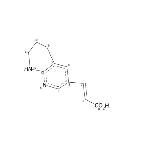 O=C(O)C=Cc1cnc2c(c1)CCCN2